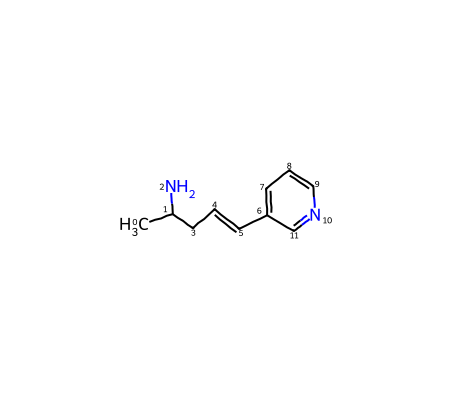 CC(N)C/C=C/c1cccnc1